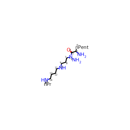 CCCCCC(N)C(=O)N(N)CCCNCCCCNCCC